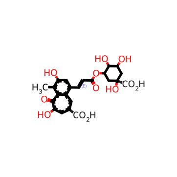 Cc1c(O)cc(/C=C/C(=O)OC2CC(O)(C(=O)O)CC(O)C2O)c2cc(C(=O)O)cc(O)c(=O)c12